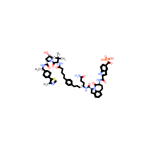 Cc1ncsc1-c1ccc([C@H](C)NC(=O)[C@@H]2C[C@@H](O)CN2C(=O)[C@@H](NC(=O)CCCCc2ccc(CCC[C@H](CCC(N)=O)NC(=O)[C@@H]3Cc4cccc5c4N3C(=O)[C@@H](NC(=O)c3cc4cc(C(=O)P(=O)(O)O)ccc4[nH]3)CC5)cc2)C(C)(C)C)cc1